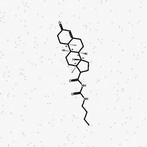 CCCCNC(=O)NC(=O)C1CC[C@H]2[C@@H]3CCC4=CC(=O)CC[C@]4(C)[C@@H]3CC[C@]12C